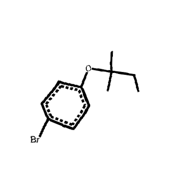 CCC(C)(C)Oc1ccc(Br)cc1